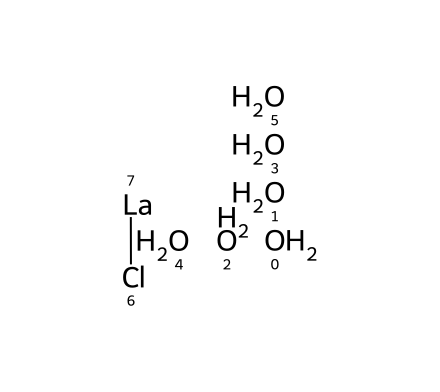 O.O.O.O.O.O.[Cl][La]